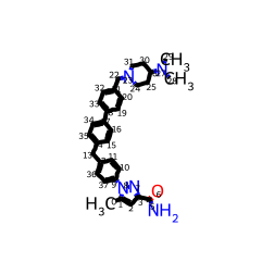 Cc1cc(C(N)=O)nn1-c1ccc(Cc2ccc(-c3ccc(CN4CCC(N(C)C)CC4)cc3)cc2)cc1